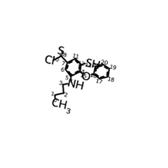 CCCCNc1cc(C(=S)Cl)cc(S)c1Oc1ccccc1